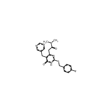 CN(C)C(=O)Cc1nc(SCc2ccc(F)cc2)[nH]c(=O)c1Cc1cncnc1